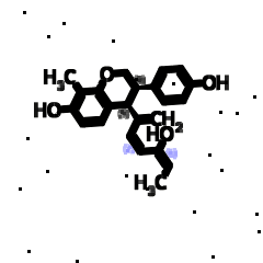 C=C(/C=C\C(O)=C/C)[C@H]1c2ccc(O)c(C)c2OC[C@H]1c1ccc(O)cc1